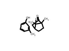 CC12CCC(CC1=O)C2(C)C.Cc1cccc(O)c1